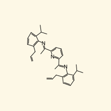 C=CCc1cccc(C(C)C)c1N=C(C)c1cccc(C(C)=Nc2c(CC=C)cccc2C(C)C)n1